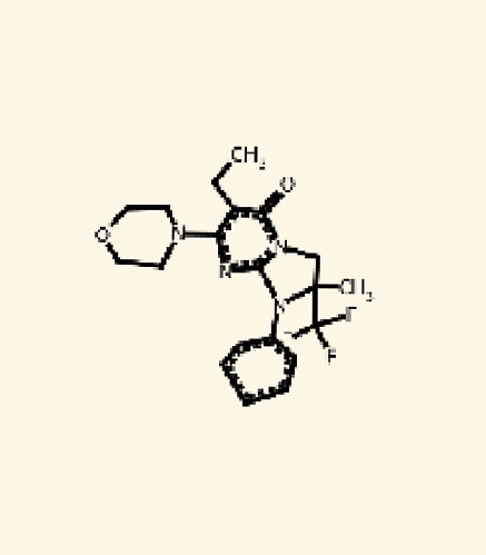 CCc1c(N2CCOCC2)nc2n(c1=O)CC(C)(C(F)(F)F)N2c1ccccc1